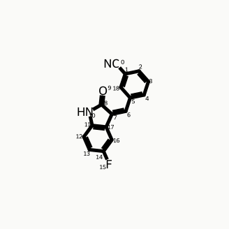 N#Cc1cccc(C=C2C(=O)Nc3ccc(F)cc32)c1